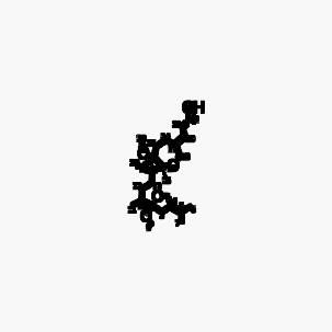 COC(CC=C(C)C)(OC)C(C)CCC[C@]1(C)OC/C(=C/C=N/O)CCC1(OC)OC